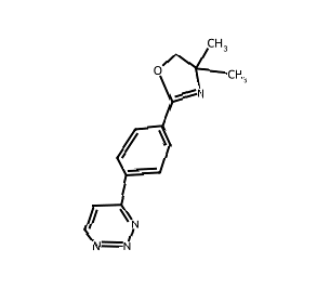 CC1(C)COC(c2ccc(-c3ccnnn3)cc2)=N1